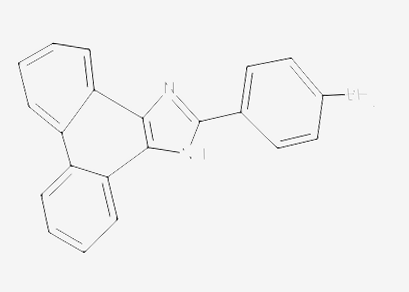 Bc1ccc(-c2nc3c4ccccc4c4ccccc4c3[nH]2)cc1